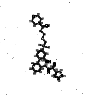 CC(C)(CCCCC(=O)N1CCOCC1)c1ccc(-c2ccccc2CNC(=O)c2csnn2)c(O)c1